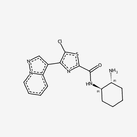 N[C@@H]1CCCC[C@H]1NC(=O)c1nc(-c2cnn3ccccc23)c(Cl)s1